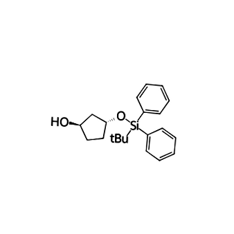 CC(C)(C)[Si](O[C@@H]1CC[C@@H](O)C1)(c1ccccc1)c1ccccc1